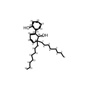 CCCCCCCCC1(CCCCCCCC)C=CC=C(c2ccccc2O)C1O